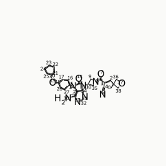 CC1(/C=C(\C#N)C(=O)N2CC(n3c(=O)n(-c4ccc(Oc5ccccc5)cc4)c4c(N)ncnc43)C2)COC1